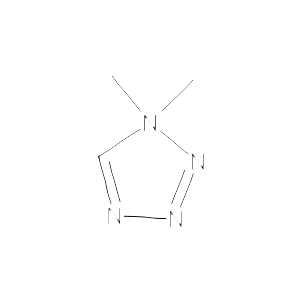 C[N+]1(C)C=NN=N1